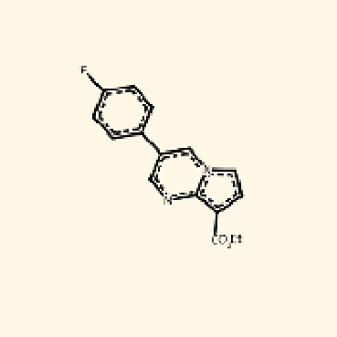 CCOC(=O)c1ccn2cc(-c3ccc(F)cc3)cnc12